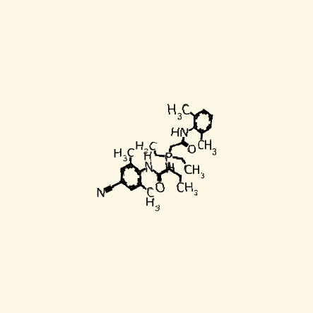 CCC(C(=O)Nc1c(C)cc(C#N)cc1C)[PH](CC)(CC)CC(=O)Nc1c(C)cccc1C